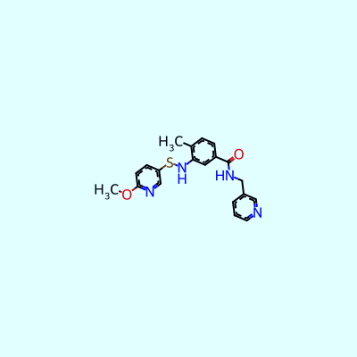 COc1ccc(SNc2cc(C(=O)NCc3cccnc3)ccc2C)cn1